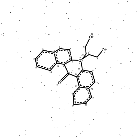 O=C(c1c(OCCO)ccc2ccccc12)c1c(OCCO)ccc2ccccc12